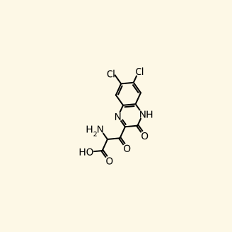 NC(C(=O)O)C(=O)c1nc2cc(Cl)c(Cl)cc2[nH]c1=O